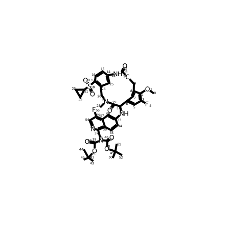 COc1c(F)cc2cc1CCC(=O)Nc1ccc(S(=O)(=O)C3CC3)c(c1)CN(C)C(=O)C2Nc1ccc2c(N(C(=O)OC(C)(C)C)C(=O)OC(C)(C)C)ncc(F)c2c1